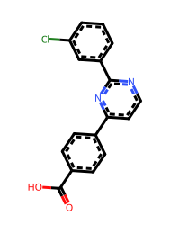 O=C(O)c1ccc(-c2ccnc(-c3cccc(Cl)c3)n2)cc1